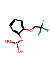 OB(O)Oc1ccccc1OCC(F)(F)F